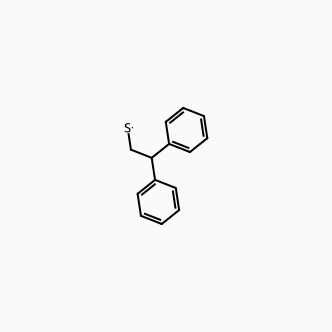 [S]CC(c1ccccc1)c1ccccc1